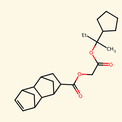 CCC(C)(OC(=O)COC(=O)C1CC2CC1C1C3C=CC(C3)C21)C1CCCC1